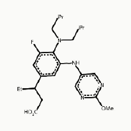 CCC(CC(=O)O)c1cc(F)c(N(CC(C)C)CC(C)C)c(Nc2cnc(OC)nc2)c1